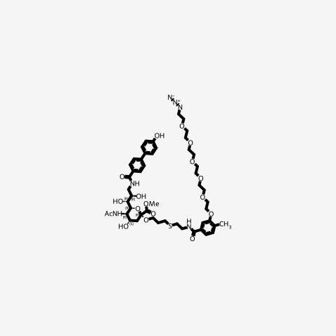 COC(=O)[C@@]1(OCCCSCCNC(=O)c2ccc(C)c(OCCOCCOCCOCCOCCOCCN=[N+]=[N-])c2)C[C@H](O)[C@@H](NC(C)=O)[C@H]([C@H](O)[C@H](O)CNC(=O)c2ccc(-c3ccc(O)cc3)cc2)O1